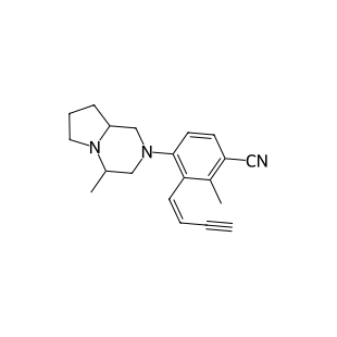 C#C/C=C\c1c(N2CC(C)N3CCCC3C2)ccc(C#N)c1C